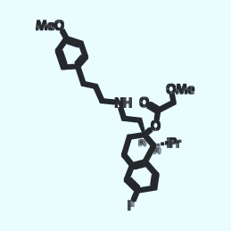 COCC(=O)O[C@@]1(CCNCCCc2ccc(OC)cc2)CCc2cc(F)ccc2[C@H]1C(C)C